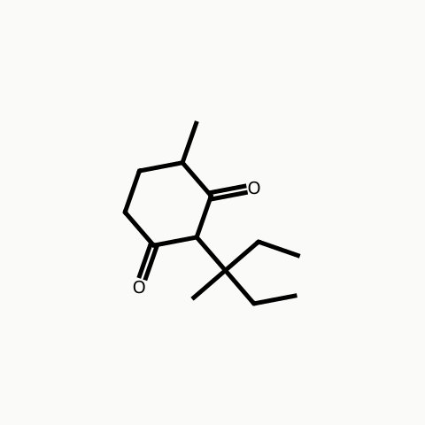 CCC(C)(CC)C1C(=O)CCC(C)C1=O